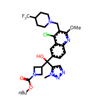 CCCCOC(=O)N1CC(C(O)(c2ccc3nc(OC)c(CN4CCC(C(F)(F)F)CC4)c(Cl)c3c2)c2cnnn2C)C1